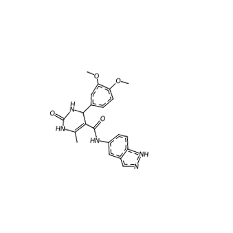 COc1ccc(C2NC(=O)NC(C)=C2C(=O)Nc2ccc3[nH]ncc3c2)cc1OC